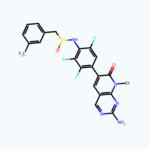 CCn1c(=O)c(-c2cc(F)c(N[S+]([O-])Cc3cccc(C(F)(F)F)c3)c(F)c2F)cc2cnc(N)nc21